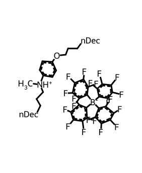 CCCCCCCCCCCCCOc1ccc([NH+](C)CCCCCCCCCCCCC)cc1.Fc1c(F)c(F)c([B-](c2c(F)c(F)c(F)c(F)c2F)(c2c(F)c(F)c(F)c(F)c2F)c2c(F)c(F)c(F)c(F)c2F)c(F)c1F